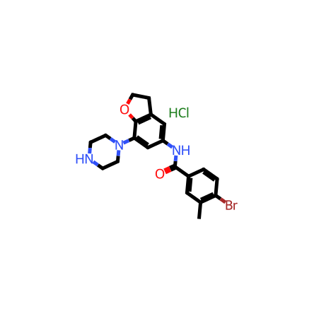 Cc1cc(C(=O)Nc2cc3c(c(N4CCNCC4)c2)OCC3)ccc1Br.Cl